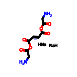 NCC(=O)OC(=O)/C=C/C(=O)OC(=O)CN.[NaH].[NaH]